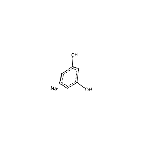 Oc1cccc(O)c1.[Na]